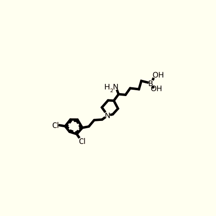 NC(CCCCB(O)O)C1CCN(CCCc2ccc(Cl)cc2Cl)CC1